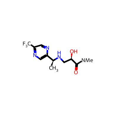 CNC(=O)[C@H](O)CN[C@@H](C)c1cnc(C(F)(F)F)cn1